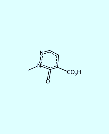 Cn1nccc(C(=O)O)c1=O